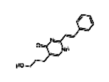 O=c1nc(C=Cc2ccccc2)[nH]cc1CCCO